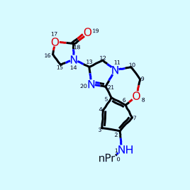 CCCNc1ccc2c(c1)OCCN1CC(N3CCOC3=O)N=C21